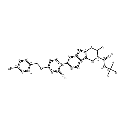 CC1Cc2oc3cc(-n4ccc(OCc5ccc(F)cn5)cc4=O)ccc3c2CN1C(=O)OC(C)(C)C